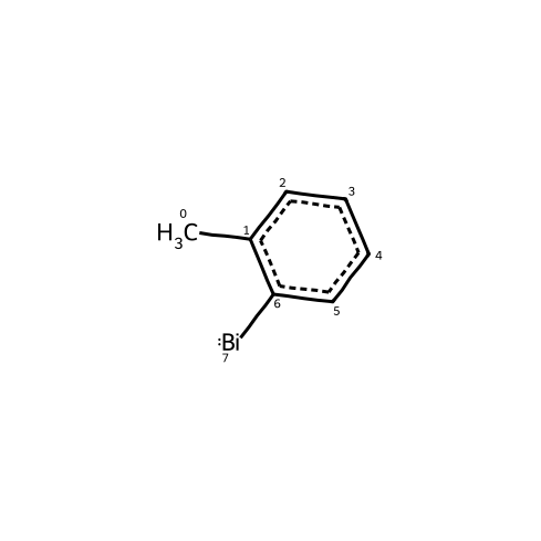 Cc1cccc[c]1[Bi]